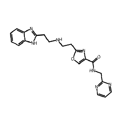 O=C(NCc1ncccn1)c1coc(CCNCCc2nc3ccccc3[nH]2)n1